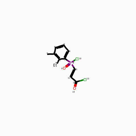 CCc1c(C)cccc1P(=O)(Cl)C=CC(=O)Cl